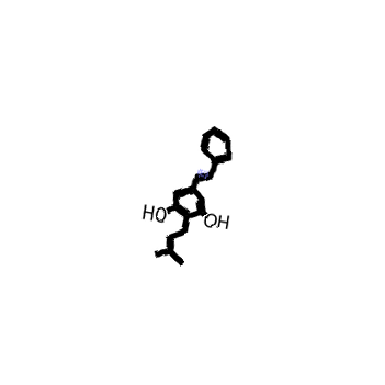 CC(C)=CCc1c(O)cc(/C=C/c2ccccc2)cc1O